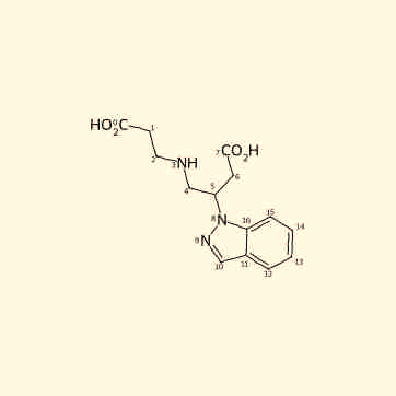 O=C(O)CCNCC(CC(=O)O)n1ncc2ccccc21